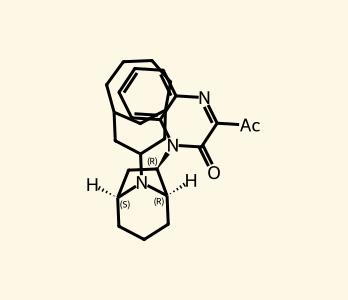 CC(=O)c1nc2ccccc2n([C@@H]2C[C@@H]3CCC[C@H]2N3C2CC3CCCCC(C3)C2)c1=O